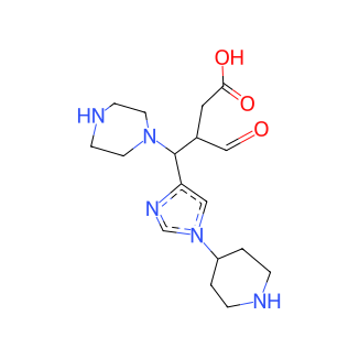 O=CC(CC(=O)O)C(c1cn(C2CCNCC2)cn1)N1CCNCC1